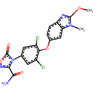 COc1nc2ccc(Oc3c(Cl)cc(-n4c(C(N)=O)noc4=O)cc3Cl)cc2n1C